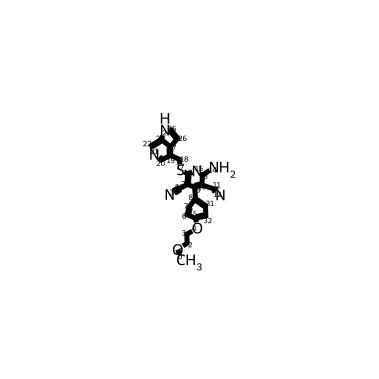 COCCOc1ccc(-c2c(C#N)c(N)nc(SCc3cncc4[nH]ccc34)c2C#N)cc1